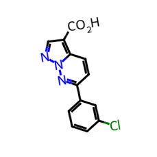 O=C(O)c1cnn2nc(-c3cccc(Cl)c3)ccc12